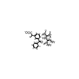 CC(C(=O)[O-])c1cccc(C(=O)c2ccccc2)c1.CC(C)N=C(NC(N(C)C)=[N+](C)C)N(C)C(C)C